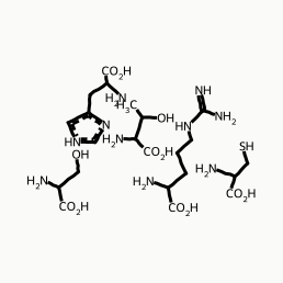 CC(O)C(N)C(=O)O.N=C(N)NCCCC(N)C(=O)O.NC(CO)C(=O)O.NC(CS)C(=O)O.NC(Cc1c[nH]cn1)C(=O)O